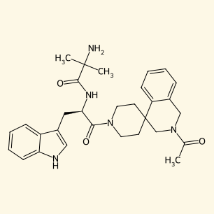 CC(=O)N1Cc2ccccc2C2(CCN(C(=O)[C@@H](Cc3c[nH]c4ccccc34)NC(=O)C(C)(C)N)CC2)C1